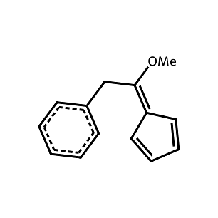 COC(Cc1ccccc1)=C1C=CC=C1